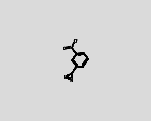 O=[N+]([O-])c1cccc(C2N=N2)c1